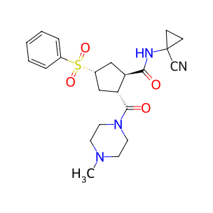 CN1CCN(C(=O)[C@@H]2C[C@H](S(=O)(=O)c3ccccc3)C[C@H]2C(=O)NC2(C#N)CC2)CC1